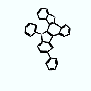 c1ccc(-c2ccc3c(c2)c2c4ccccc4c4sc5ccccc5c4c2n3-c2ccccc2)cc1